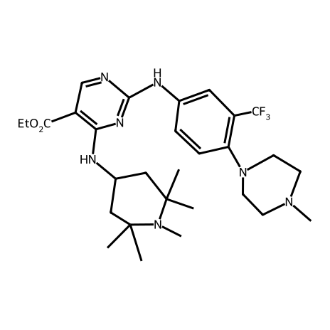 CCOC(=O)c1cnc(Nc2ccc(N3CCN(C)CC3)c(C(F)(F)F)c2)nc1NC1CC(C)(C)N(C)C(C)(C)C1